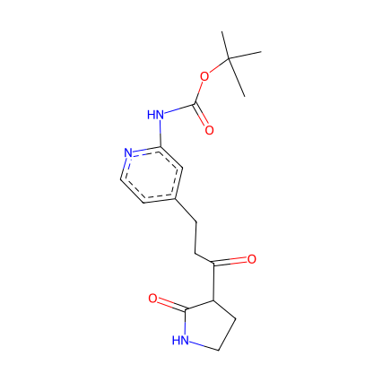 CC(C)(C)OC(=O)Nc1cc(CCC(=O)C2CCNC2=O)ccn1